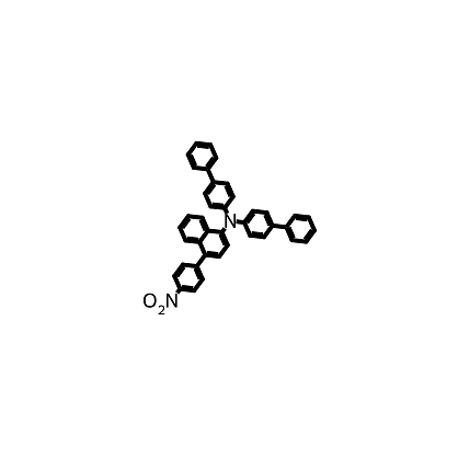 O=[N+]([O-])c1ccc(-c2ccc(N(c3ccc(-c4ccccc4)cc3)c3ccc(-c4ccccc4)cc3)c3ccccc23)cc1